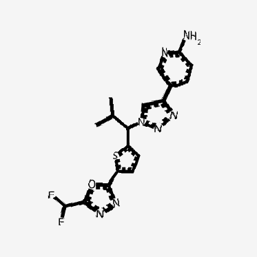 CC(C)C(c1ccc(-c2nnc(C(F)F)o2)s1)n1cc(-c2ccc(N)nc2)nn1